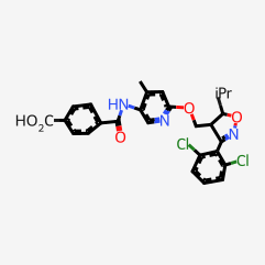 Cc1cc(OCC2C(c3c(Cl)cccc3Cl)=NOC2C(C)C)ncc1NC(=O)c1ccc(C(=O)O)cc1